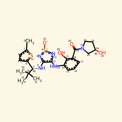 Cc1ccc([C@H](Nc2n[s+]([O-])nc2Nc2cccc(C(=O)N3CC[C@@H](O)C3)c2O)C(C)(C)C)s1